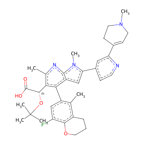 Cc1nc2c(cc(-c3ccnc(C4=CCN(C)CC4)c3)n2C)c(-c2cc(F)c3c(c2C)CCCO3)c1[C@H](OC(C)(C)C)C(=O)O